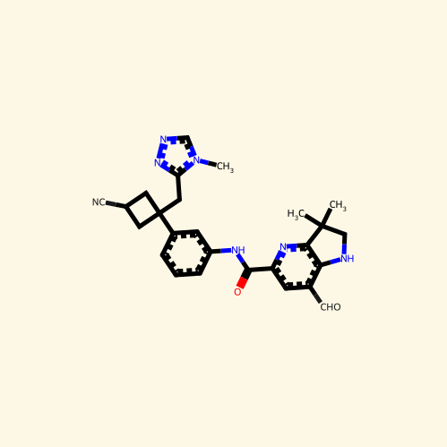 Cn1cnnc1CC1(c2cccc(NC(=O)c3cc(C=O)c4c(n3)C(C)(C)CN4)c2)CC(C#N)C1